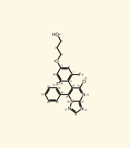 OCCCOc1cc(F)c(-c2c(Cl)nc3ncnn3c2-c2ccccc2)c(F)c1